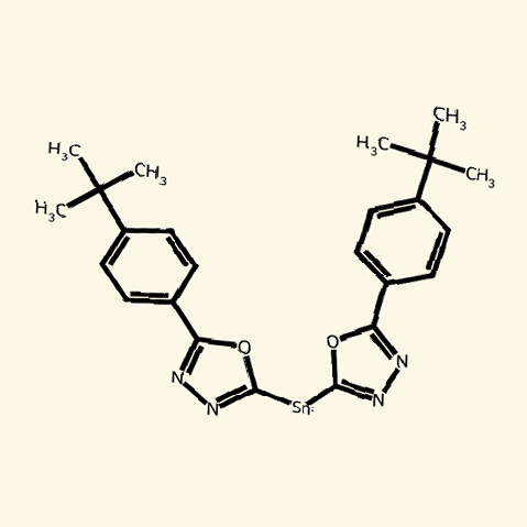 CC(C)(C)c1ccc(-c2nn[c]([Sn][c]3nnc(-c4ccc(C(C)(C)C)cc4)o3)o2)cc1